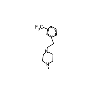 CN1CCN(CCc2cccc(C(F)(F)F)c2)CC1